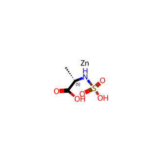 C[C@H](NS(=O)(=O)O)C(=O)O.[Zn]